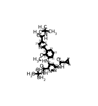 BC(B)(B)NC(=O)c1nnc(NC(=O)C2CC2)cc1Nc1cccc(-c2ncc(C(=O)NC(C)(C)C)s2)c1OC